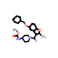 Cc1oc2ccc(OCc3ccccc3)cc2c1C(=O)N1CCC(NC(=O)OC(C)(C)C)CC1